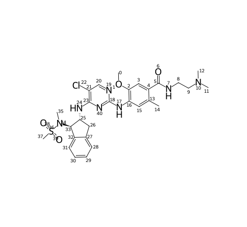 COc1cc(C(=O)NCCN(C)C)c(C)cc1Nc1ncc(Cl)c(N[C@@H]2Cc3ccccc3[C@H]2N(C)S(C)(=O)=O)n1